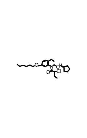 CCCCCCOCc1ccc(CC)c(N(CON=C2CCCC2)C(=O)C(Cl)CC)c1